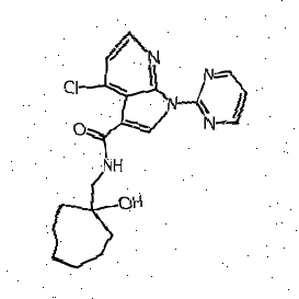 O=C(NCC1(O)CCCCCC1)c1cn(-c2ncccn2)c2nccc(Cl)c12